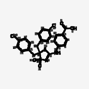 O=C(O)c1ccc(NC2=NS(=O)(=O)C(Cc3ccc(Cl)cc3)(Cc3ccc(Cl)cc3)S2)cc1